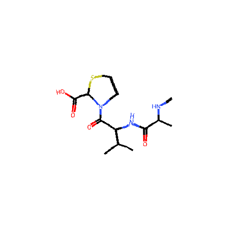 CNC(C)C(=O)NC(C(=O)N1CCSC1C(=O)O)C(C)C